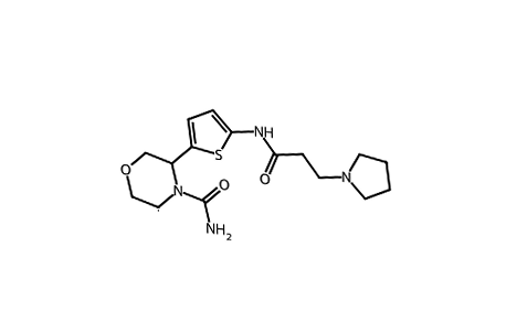 NC(=O)N1[CH]COCC1c1ccc(NC(=O)CCN2CCCC2)s1